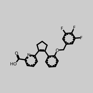 O=C(O)c1cccc(C2=C(c3ccccc3OCc3cc(F)c(F)c(F)c3)CCC2)n1